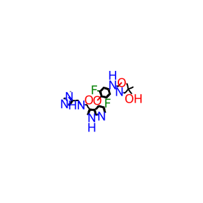 Cn1cncc1CNC(=O)c1c[nH]c2nccc(Oc3c(F)cc(NC4=NCC(C)(CO)CO4)cc3F)c12